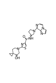 O=C(N[C@H]1CCN(c2nccn3ccnc23)C1)c1csc(N2CCC3(CC3)[C@H](O)C2)n1